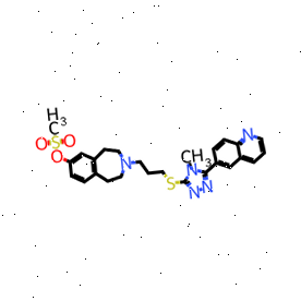 Cn1c(SCCCN2CCc3ccc(OS(C)(=O)=O)cc3CC2)nnc1-c1ccc2ncccc2c1